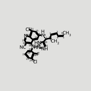 C=C(/C=C\C=C/C)[C@H](Nc1cc(Cl)c2ncc(C#N)c(Nc3cccc(Cl)c3F)c2c1)C1=CNNN1